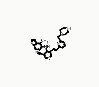 Cc1c(Nc2c(C#N)cncc2C=Cc2cccc(CN3CCNCC3)n2)ccc2[nH]ccc12